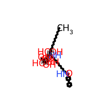 CCCCCCCCCCCCCC[C@@H](O)[C@@H](O)[C@H](CO[C@H]1OC(CO)[C@H](O)[C@H](O)C1O)NC(=O)CCCCCCCCCCCNC(=O)c1ccc(-c2ccccc2)cc1